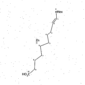 CCCCCCC=CCCCCCCCC(=O)O.[Zn]